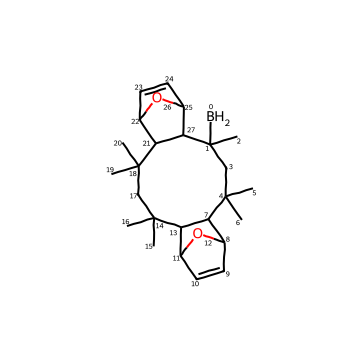 BC1(C)CC(C)(C)C2C3C=CC(O3)C2C(C)(C)CC(C)(C)C2C3C=CC(O3)C21